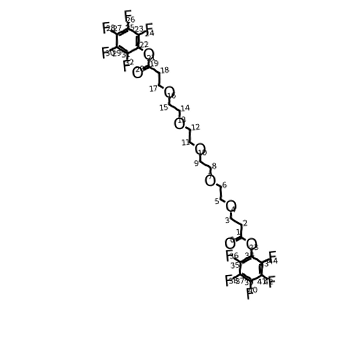 O=C(CCOCCOCCOCCOCCOCCC(=O)Oc1c(F)c(F)c(F)c(F)c1F)Oc1c(F)c(F)c(F)c(F)c1F